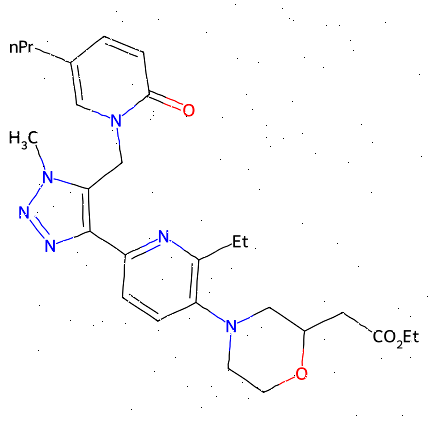 CCCc1ccc(=O)n(Cc2c(-c3ccc(N4CCOC(CC(=O)OCC)C4)c(CC)n3)nnn2C)c1